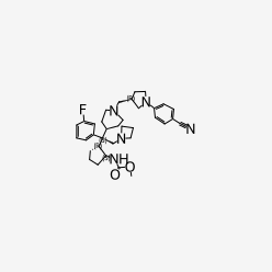 COC(=O)N[C@H]1CCC[C@@H]1[C@](CN1CCC1)(c1cccc(F)c1)C1CCN(C[C@H]2CCN(c3ccc(C#N)cc3)C2)CC1